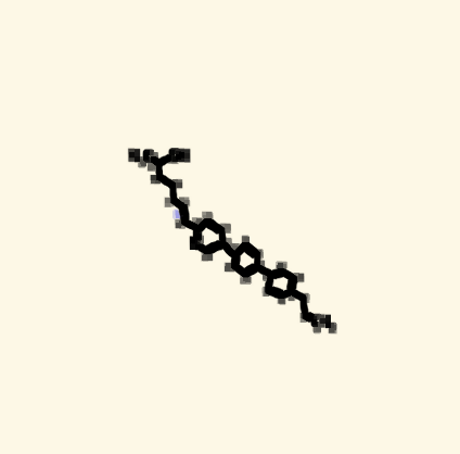 C=CCc1ccc(-c2ccc(-c3ccc(/C=C/CCCC(C)O)nc3)cc2)cc1